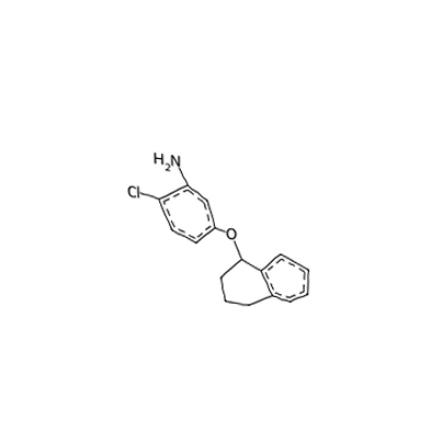 Nc1cc(OC2CCCc3ccccc32)ccc1Cl